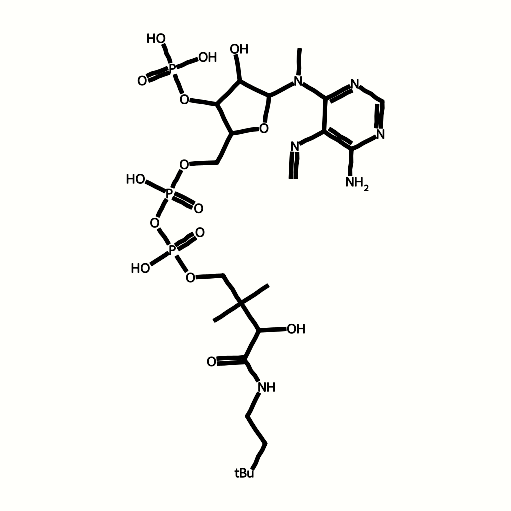 C=Nc1c(N)ncnc1N(C)C1OC(COP(=O)(O)OP(=O)(O)OCC(C)(C)C(O)C(=O)NCCC(C)(C)C)C(OP(=O)(O)O)C1O